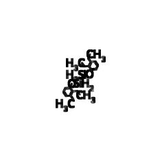 CCc1cccc(O[SiH2]CC[SiH2]Oc2cccc(CC)c2CC)c1CC